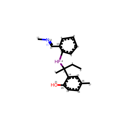 CCC(C)(Pc1ccccc1/C=N/C)c1cc(C)ccc1O